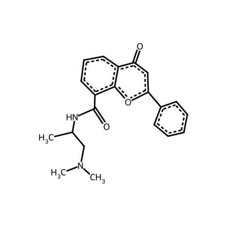 CC(CN(C)C)NC(=O)c1cccc2c(=O)cc(-c3ccccc3)oc12